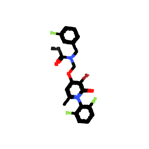 COC(=O)N(COc1cc(C)n(-c2c(F)cccc2F)c(=O)c1Br)Cc1cccc(F)c1